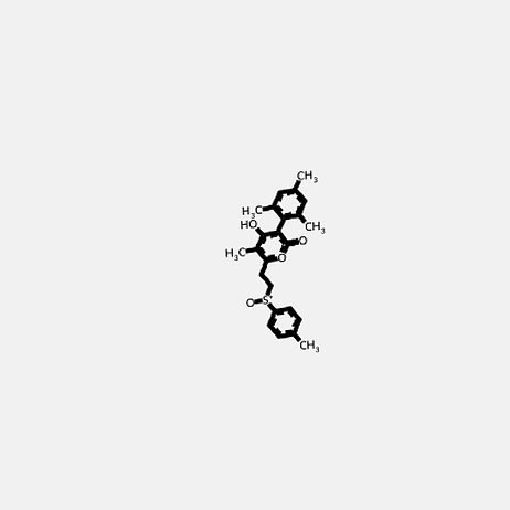 Cc1ccc([S+]([O-])CCc2oc(=O)c(-c3c(C)cc(C)cc3C)c(O)c2C)cc1